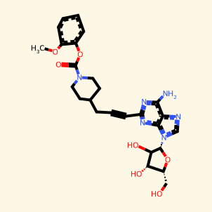 COc1ccccc1OC(=O)N1CCC(CC#Cc2nc(N)c3ncn([C@@H]4O[C@H](CO)[C@H](O)C4O)c3n2)CC1